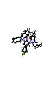 CC(C)(C)c1ccc2c(c1)c1cc(C(C)(C)C)cc3c1n2-c1cc(-c2ccc(F)cc2)cc2c1B3c1c3ccccc3cc3c4cc5ccccc5cc4n-2c13